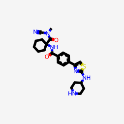 CN(C#N)C(=O)C1(NC(=O)c2ccc(-c3csc(NC4CCNCC4)n3)cc2)CCCCC1